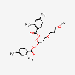 [CH2]CCOCCCOCC[C](OOC(=O)c1ccc(C)cc1C)OOC(=O)c1ccc(C)cc1C